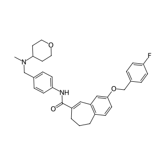 CN(Cc1ccc(NC(=O)C2=Cc3cc(OCc4ccc(F)cc4)ccc3CCC2)cc1)C1CCOCC1